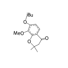 CCC(C)Oc1ccc2c(c1OC)OC(C)(C)CC2=O